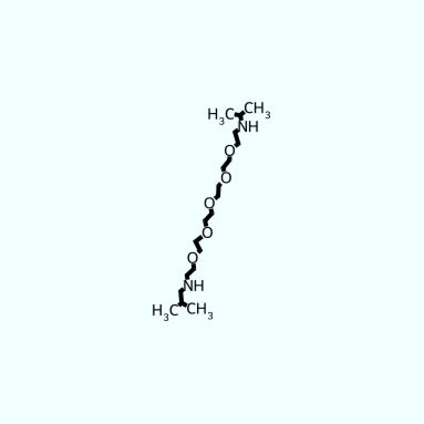 CC(C)CNCCOCCOCCOCCOCCOCCNC(C)C